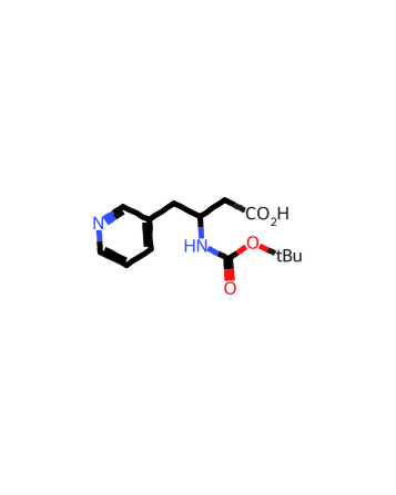 CC(C)(C)OC(=O)NC(CC(=O)O)Cc1cccnc1